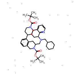 CC(C)(C)OC(=O)N1CCC(c2cccc3c2CC(CN(CC2CCCCC2)C2CCCc4cccnc42)N(C(=O)OC(C)(C)C)C3)CC1